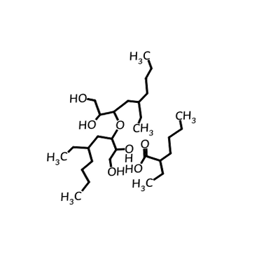 CCCCC(CC)C(=O)O.CCCCC(CC)CC(OC(CC(CC)CCCC)C(O)CO)C(O)CO